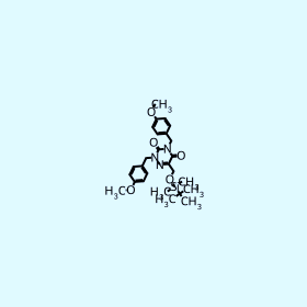 COc1ccc(Cn2nc(CO[Si](C)(C)C(C)(C)C)c(=O)n(Cc3ccc(OC)cc3)c2=O)cc1